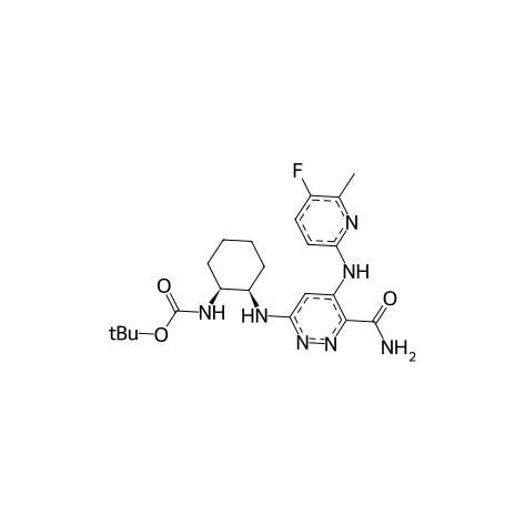 Cc1nc(Nc2cc(N[C@@H]3CCCC[C@@H]3NC(=O)OC(C)(C)C)nnc2C(N)=O)ccc1F